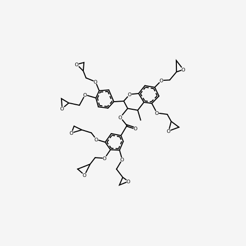 CC1c2c(OCC3CO3)cc(OCC3CO3)cc2OC(c2ccc(OCC3CO3)c(OCC3CO3)c2)C1OC(=O)c1cc(OCC2CO2)c(OCC2CO2)c(OCC2CO2)c1